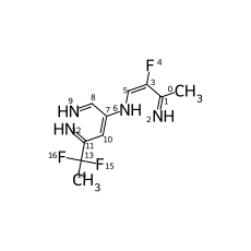 CC(=N)/C(F)=C\N/C(C=N)=C/C(=N)C(C)(F)F